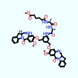 COC(=O)CCCCC(=O)N[C@@H](C)C(=O)N[C@@H](C)C(=O)Nc1cc(COc2cc3c(cc2OC)C(=O)N2c4ccccc4CC2C=N3)cc(COc2cc3c(cc2OC)C(=O)N2c4ccccc4C[C@H]2CN3)c1